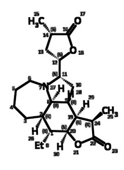 CC[C@@H]1[C@H]2CCCCN3[C@H]2[C@H](C[C@H]3[C@@H]2C[C@H](C)C(=O)O2)[C@@H]2[C@H]1OC(=O)[C@@H]2C